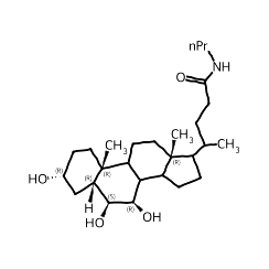 CCCNC(=O)CCC(C)C1CCC2C3C(CC[C@]12C)[C@@]1(C)CC[C@@H](O)C[C@H]1[C@H](O)[C@@H]3O